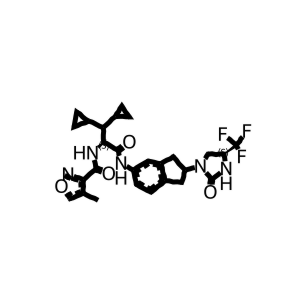 Cc1conc1C(=O)N[C@H](C(=O)Nc1ccc2c(c1)CC(N1C[C@@H](C(F)(F)F)NC1=O)C2)C(C1CC1)C1CC1